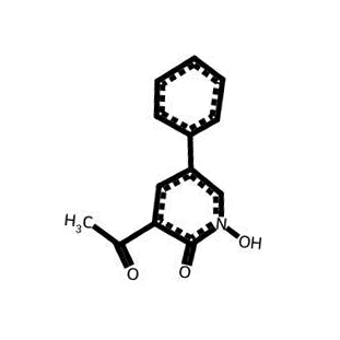 CC(=O)c1cc(-c2ccccc2)cn(O)c1=O